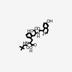 CN1CCc2cc(O)ccc2C1C(=O)NC(Cc1ccccc1CC(NC(=O)CC(C)(C)C)C(=O)O)C(=O)O